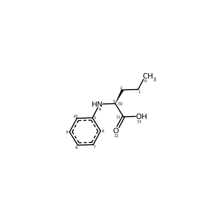 CCC[C@H](Nc1ccccc1)C(=O)O